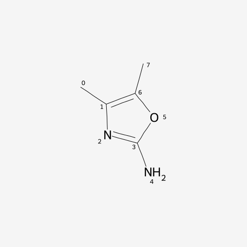 Cc1nc(N)oc1C